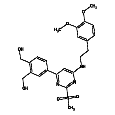 COc1ccc(CCNc2cc(-c3ccc(CO)c(CO)c3)nc(S(C)(=O)=O)n2)cc1OC